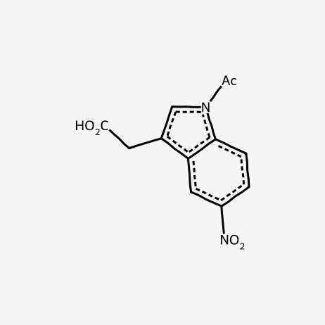 CC(=O)n1cc(CC(=O)O)c2cc([N+](=O)[O-])ccc21